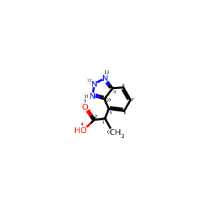 CC(C(=O)O)c1cccc2c1=N[N]N=2